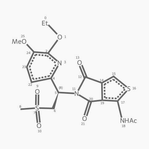 CCOc1nc([C@H](CS(C)(=O)=O)N2C(=O)c3csc(NC(C)=O)c3C2=O)ccc1OC